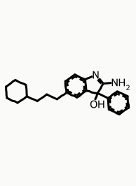 NC1=Nc2ccc(CCCC3CCCCC3)cc2C1(O)c1ccccc1